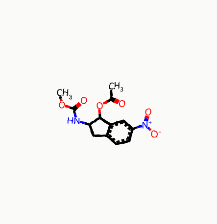 COC(=O)NC1Cc2ccc([N+](=O)[O-])cc2C1OC(C)=O